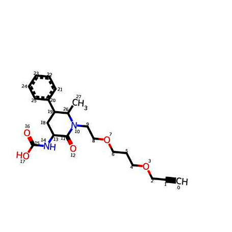 C#CCOCCCOCCN1C(=O)C(NC(=O)O)CC(c2ccccc2)C1C